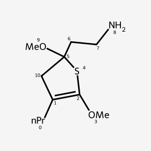 CCCC1=C(OC)SC(CCN)(OC)C1